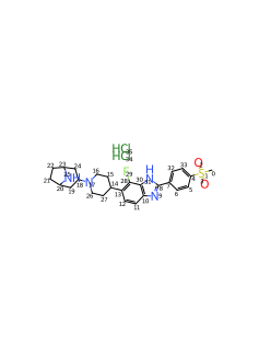 CS(=O)(=O)c1ccc(-c2nc3ccc(C4CCN(C5CC6CCC(C5)N6)CC4)c(F)c3[nH]2)cc1.Cl.Cl